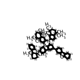 CC1(C)CCC(C)(C)c2cc(N3c4cc5c(cc4B4c6cc(N7c8ccccc8C8(C)CCCCC78C)ccc6-c6cc(-c7ccc8c(c7)oc7ccccc78)cc3c64)C(C)(C)CCC5(C)C)ccc21